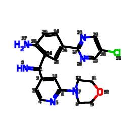 N=C(c1ccnc(N2CCOCC2)c1)c1cc(-c2ncc(Cl)cn2)ccc1N